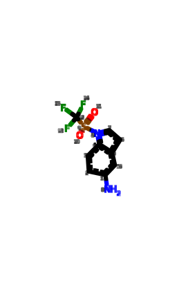 Nc1ccc2c(ccn2S(=O)(=O)C(F)(F)F)c1